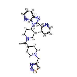 C=C(C1CCN(Cc2csnn2)CC1)N1CCC(n2c(-c3ccccn3)nc3cccnc32)CC1